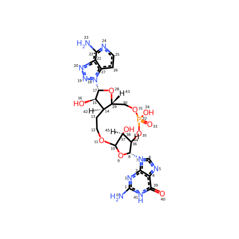 Nc1nc2c(ncn2[C@@H]2OC3OCC[C@H]4[C@@H](O)[C@H](n5nnc6c(N)nccc65)O[C@@H]4COP(=O)(O)O[C@@H]2[C@@H]3O)c(=O)[nH]1